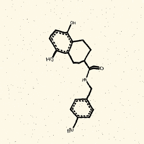 CC(C)(C)c1ccc(CNC(=O)C2CCc3c(O)ccc(O)c3C2)cc1